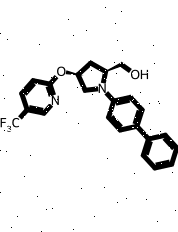 OC[C@@H]1C[C@H](Oc2ccc(C(F)(F)F)cn2)CN1c1ccc(-c2ccccc2)cc1